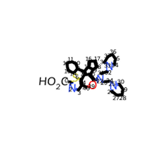 O=C(O)C1=NCC2=C(S1)C1=C(C3CCCCC3)C3=CC=CC3C1=C(N(CCN1CCCCC1)CCN1CCCCC1)OC2